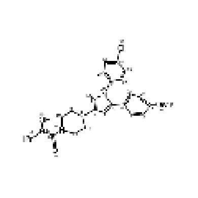 COc1ccc(-c2cc(C3CCN(C(=O)N(O)C(C)C)CC3)nn2-c2ccc(Cl)cc2)cc1